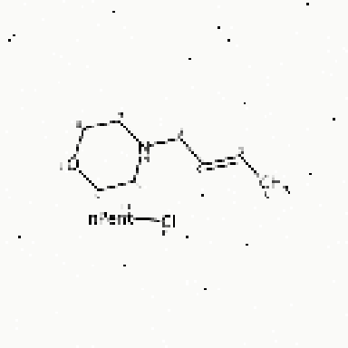 CC=CCN1CCOCC1.CCCCCCl